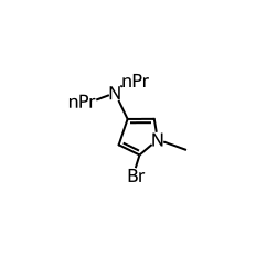 CCCN(CCC)c1cc(Br)n(C)c1